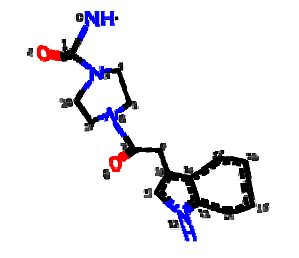 [NH]C(=O)N1CCN(C(=O)Cc2c[nH]c3ccccc23)CC1